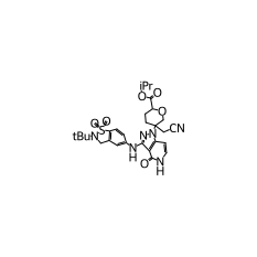 CC(C)OC(=O)C1CCC(CC#N)(n2nc(Nc3ccc4c(c3)CN(C(C)(C)C)S4(=O)=O)c3c(=O)[nH]ccc32)CO1